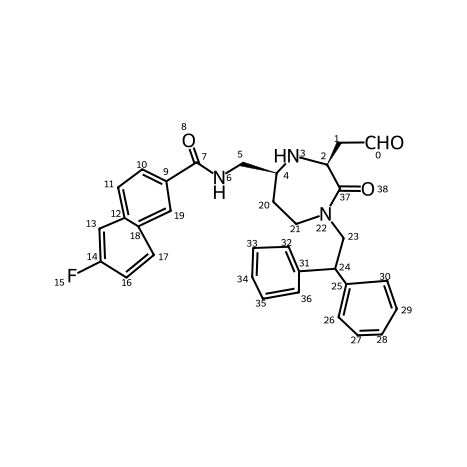 O=CC[C@@H]1N[C@H](CNC(=O)c2ccc3cc(F)ccc3c2)CCN(CC(c2ccccc2)c2ccccc2)C1=O